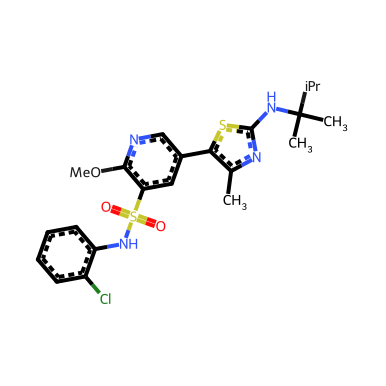 COc1ncc(-c2sc(NC(C)(C)C(C)C)nc2C)cc1S(=O)(=O)Nc1ccccc1Cl